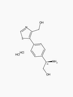 Cl.Cl.N[C@@H](CO)c1ccc(-c2scnc2CO)cc1